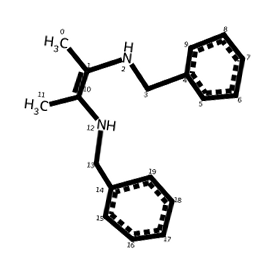 CC(NCc1ccccc1)=C(C)NCc1ccccc1